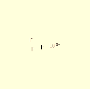 [I-].[I-].[I-].[Lu+3]